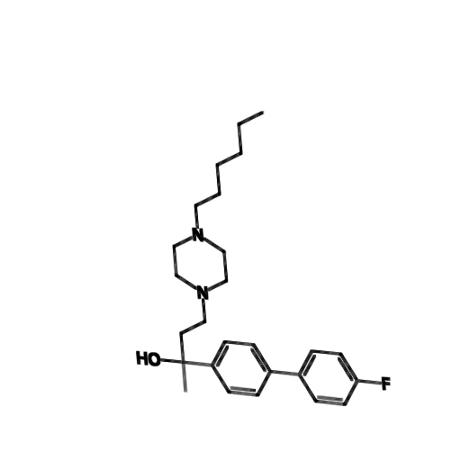 CCCCCCN1CCN(CCC(C)(O)c2ccc(-c3ccc(F)cc3)cc2)CC1